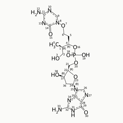 C[C@H](CO)[C@@H](CCOn1cnc(N)nc1=O)OP(=O)(O)OC[C@H]1O[C@@H](n2cnc3c(=O)[nH]c(N)nc32)C[C@H]1O